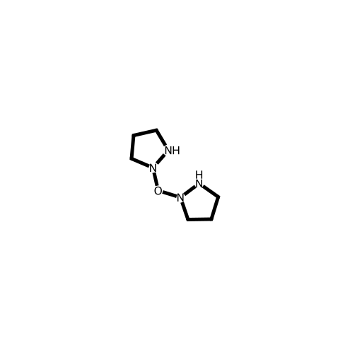 C1CNN(ON2CCCN2)C1